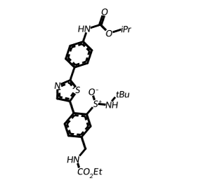 CCOC(=O)NCc1ccc(-c2cnc(-c3ccc(NC(=O)OC(C)C)cc3)s2)c([S+]([O-])NC(C)(C)C)c1